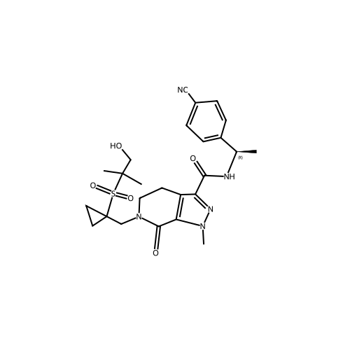 C[C@@H](NC(=O)c1nn(C)c2c1CCN(CC1(S(=O)(=O)C(C)(C)CO)CC1)C2=O)c1ccc(C#N)cc1